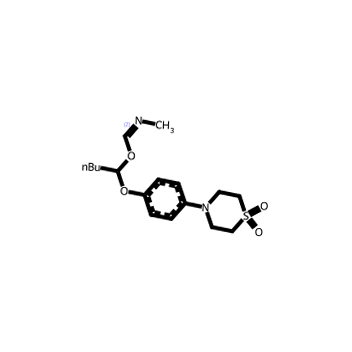 CCCCC(O/C=N\C)Oc1ccc(N2CCS(=O)(=O)CC2)cc1